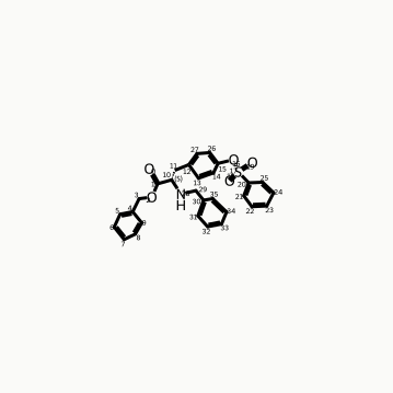 O=C(OCc1ccccc1)[C@H](Cc1ccc(OS(=O)(=O)c2ccccc2)cc1)NCc1ccccc1